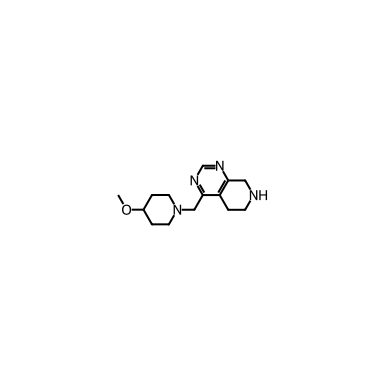 COC1CCN(Cc2ncnc3c2CCNC3)CC1